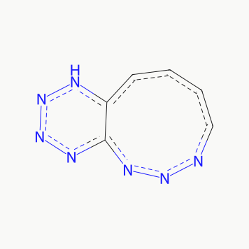 c1ccc2[nH]nnnc-2nnnc1